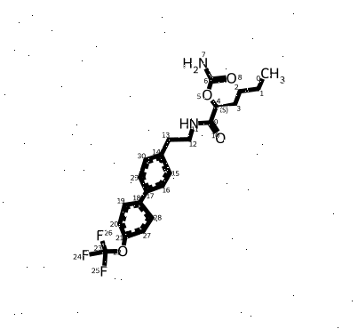 CCCC[C@H](OC(N)=O)C(=O)NCCc1ccc(-c2ccc(OC(F)(F)F)cc2)cc1